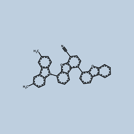 Cc1ccc2c(c1)c1cc(C)ccc1n2-c1cccc2c1oc1c(C#N)ccc(-c3cccc4c3oc3ccccc34)c12